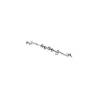 CCCCCCCCCOCCOCCOCCOCCCC(=O)OCCCCCCCC